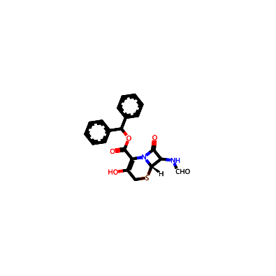 O=CNC1C(=O)N2C(C(=O)OC(c3ccccc3)c3ccccc3)=C(O)CS[C@@H]12